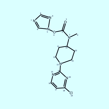 CN(C(=O)On1cncn1)C1CCN(c2nccc(Cl)n2)CC1